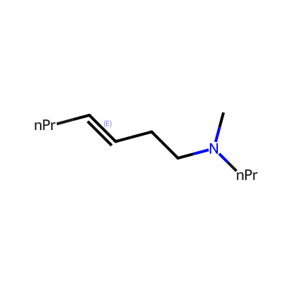 CCC/C=C/CCN(C)CCC